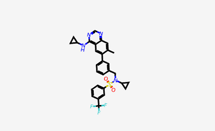 Cc1cc2ncnc(NC3CC3)c2cc1-c1cccc(CN(C2CC2)S(=O)(=O)c2cccc(C(F)(F)F)c2)c1